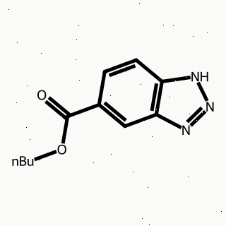 CCCCOC(=O)c1ccc2[nH]nnc2c1